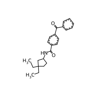 CCC1(CC)CCC(NC(=O)c2ccc(C(=O)c3ccccc3)cc2)C1